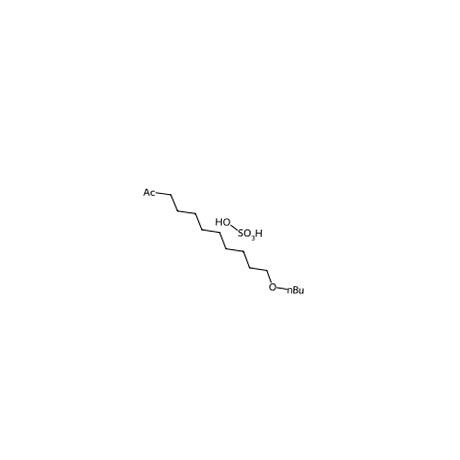 CCCCOCCCCCCCCCC(C)=O.O=S(=O)(O)O